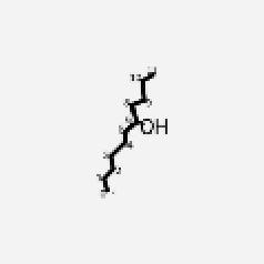 [CH2]CCCCCC(O)CCCC